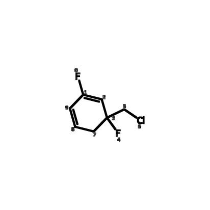 FC1=CC(F)(CCl)CC=C1